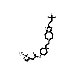 Cn1ncc(CC(=O)N[C@H]2CC[C@](F)(CCN3CCc4nc(OCC(F)(F)F)sc4CC3)CC2)n1